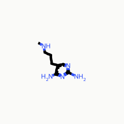 CNCCCc1cnc(N)nc1N